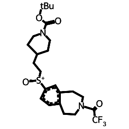 CC(C)(C)OC(=O)N1CCC(CC[S+]([O-])c2ccc3c(c2)CCN(C(=O)C(F)(F)F)CC3)CC1